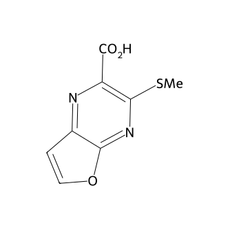 CSc1nc2occc2nc1C(=O)O